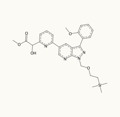 COC(=O)C(O)c1cccc(-c2cnc3c(c2)c(-c2ccccc2OC)nn3COCC[Si](C)(C)C)n1